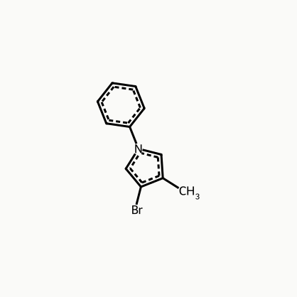 Cc1cn(-c2ccccc2)cc1Br